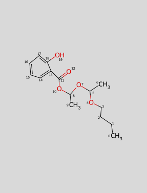 CCCCOC(C)OC(C)OC(=O)c1ccccc1O